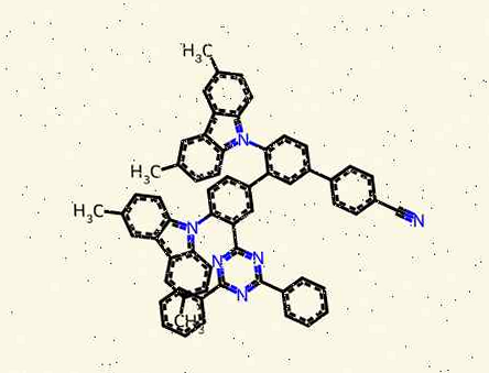 Cc1ccc2c(c1)c1cc(C)ccc1n2-c1ccc(-c2ccc(C#N)cc2)cc1-c1ccc(-n2c3ccc(C)cc3c3cc(C)ccc32)c(-c2nc(-c3ccccc3)nc(-c3ccccc3)n2)c1